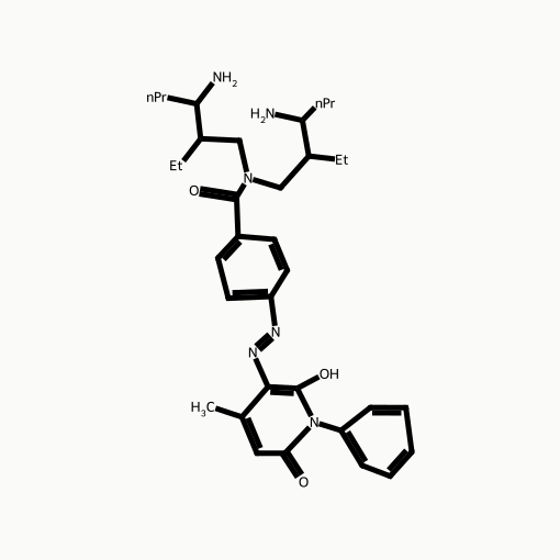 CCCC(N)C(CC)CN(CC(CC)C(N)CCC)C(=O)c1ccc(/N=N/c2c(C)cc(=O)n(-c3ccccc3)c2O)cc1